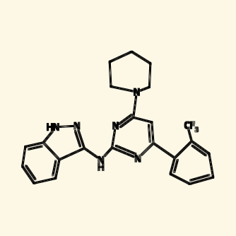 FC(F)(F)c1ccccc1-c1cc(N2CCCCC2)nc(Nc2n[nH]c3ccccc23)n1